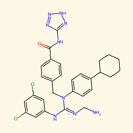 NC/N=C(/Nc1cc(Cl)cc(Cl)c1)N(Cc1ccc(C(=O)Nc2nn[nH]n2)cc1)c1ccc(C2CCCCC2)cc1